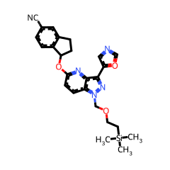 C[Si](C)(C)CCOCn1nc(-c2cnco2)c2nc(OC3CCc4cc(C#N)ccc43)ccc21